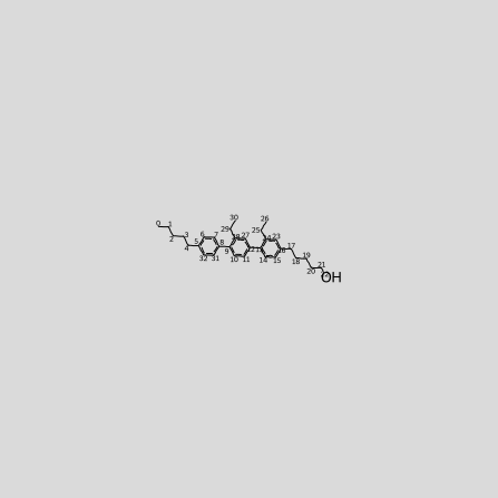 CCCCCc1ccc(-c2ccc(-c3ccc(CCCCCO)cc3CC)cc2CC)cc1